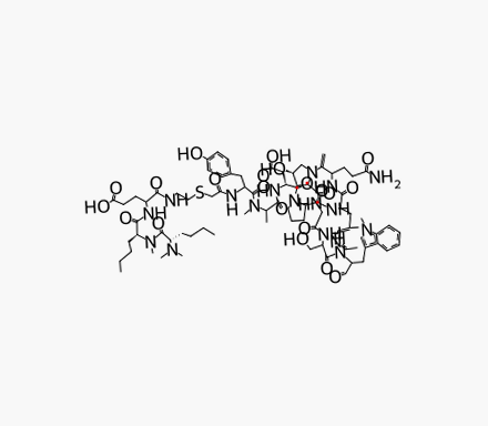 C=C(C(CCC(N)=O)NC(=O)C(C/C(C)=C/N=C\C)NC(=O)C1CCCN1C(=O)[C@H](CC(=O)O)NC(=O)C(C)N(C)C(=O)C(Cc1ccc(O)cc1)NC(=O)CSCCNC(=O)C(CCC(=O)O)NC(=O)[C@H](CCCC)N(C)C(=O)[C@H](CCCC)N(C)C)N1C[C@H](O)CC1C(=O)NCC(=O)NC(CO)C(=O)NC(C=O)Cc1cn(C)c2ccccc12